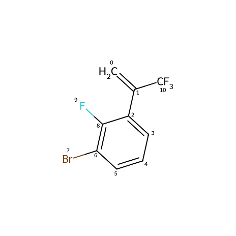 C=C(c1cccc(Br)c1F)C(F)(F)F